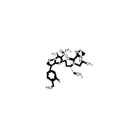 CCCN(C(=O)c1nnc[nH]1)[C@H](CC)CCc1nc2c(-c3ccc(CO)c(F)c3)cnn2c(N)c1S(C)(=O)=O